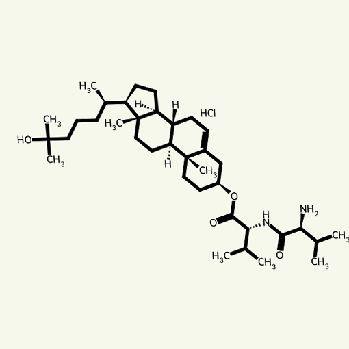 CC(C)[C@H](N)C(=O)N[C@@H](C(=O)O[C@H]1CC[C@@]2(C)C(=CC[C@H]3[C@@H]4CC[C@H]([C@H](C)CCCC(C)(C)O)[C@@]4(C)CC[C@@H]32)C1)C(C)C.Cl